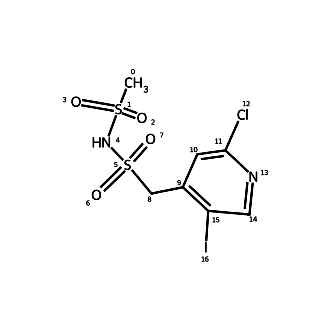 CS(=O)(=O)NS(=O)(=O)Cc1cc(Cl)ncc1I